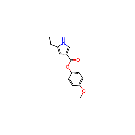 CCc1cc(C(=O)Oc2ccc(OC)cc2)c[nH]1